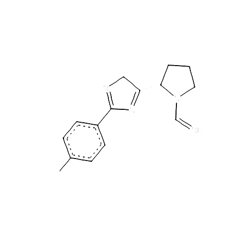 CCCCCCCCc1ccc(C2=NCC([C@@H]3CCCN3C=N)=N2)cc1